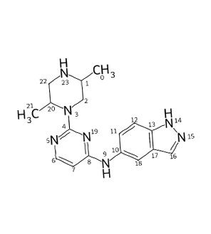 CC1CN(c2nccc(Nc3ccc4[nH]ncc4c3)n2)C(C)CN1